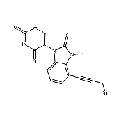 [2H]CC#Cc1cccc2c1n(C)c(=O)n2C1CCC(=O)NC1=O